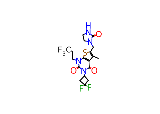 Cc1c(CN2CCNC2=O)sc2c1c(=O)n(C1CC(F)(F)C1)c(=O)n2CCC(F)(F)F